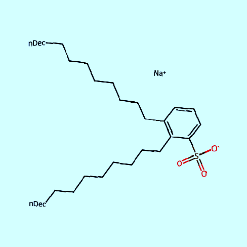 CCCCCCCCCCCCCCCCCCc1cccc(S(=O)(=O)[O-])c1CCCCCCCCCCCCCCCCCC.[Na+]